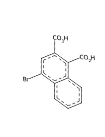 O=C(O)c1cc(Br)c2ccccc2c1C(=O)O